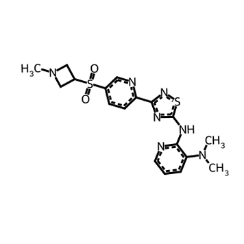 CN1CC(S(=O)(=O)c2ccc(-c3nsc(Nc4ncccc4N(C)C)n3)nc2)C1